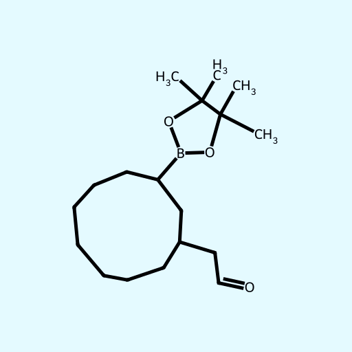 CC1(C)OB(C2CCCCCCCC(CC=O)C2)OC1(C)C